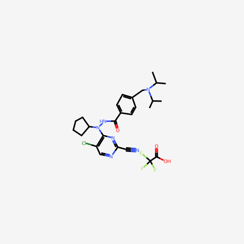 CC(C)N(Cc1ccc(C(=O)NN(c2nc(C#N)ncc2Cl)C2CCCC2)cc1)C(C)C.O=C(O)C(F)(F)F